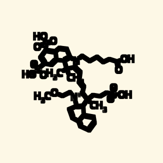 COCC[N+]1=C(/C=C/C=C2/N(CCCCCC(=O)O)c3ccc4c(S(=O)(=O)O)cc(S(=O)(=O)O)cc4c3C2(C)C)C(C)(CCCS(=O)(=O)O)c2c1ccc1ccccc21